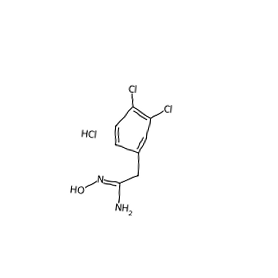 Cl.NC(Cc1ccc(Cl)c(Cl)c1)=NO